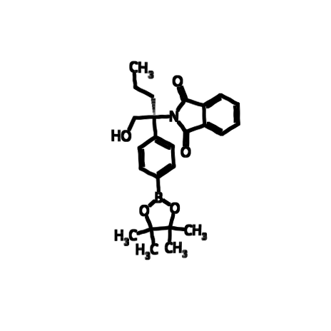 CCC[C@@](CO)(c1ccc(B2OC(C)(C)C(C)(C)O2)cc1)N1C(=O)c2ccccc2C1=O